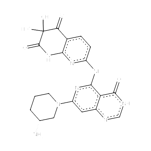 CC1(C)C(=O)Nc2nc(Nc3nc(N4CCC[C@@H](N)C4)cc4nc[nH]c(=O)c34)ccc2C1=O